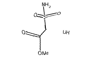 COC(=O)CS(N)(=O)=O.[LiH]